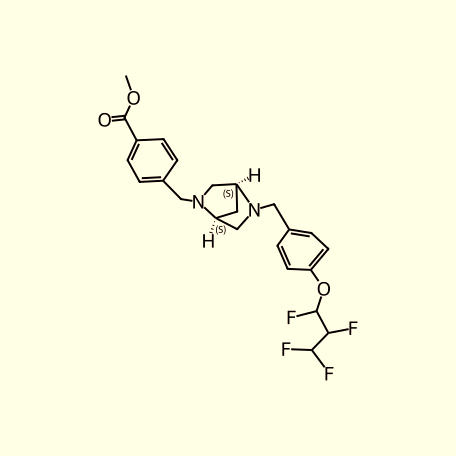 COC(=O)c1ccc(CN2C[C@@H]3C[C@H]2CN3Cc2ccc(OC(F)C(F)C(F)F)cc2)cc1